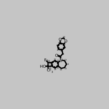 O=C(Cc1ccc2c(c1)OCO2)N1CCCCc2cc3c(cc21)C(F)C3(O)C(F)(F)F